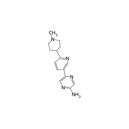 CN1CCC(c2ccc(-c3cnc(N)cn3)cn2)CC1